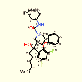 CNCC(CC(C)C)NC(=O)N1CCC[C@@H]([C@@](O)(CCCCOC)c2cc(F)cc(F)c2Oc2ccccc2)C1